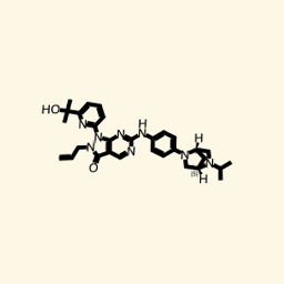 C=CCn1c(=O)c2cnc(Nc3ccc(N4C[C@@H]5C[C@H]4CN5C(C)C)cc3)nc2n1-c1cccc(C(C)(C)O)n1